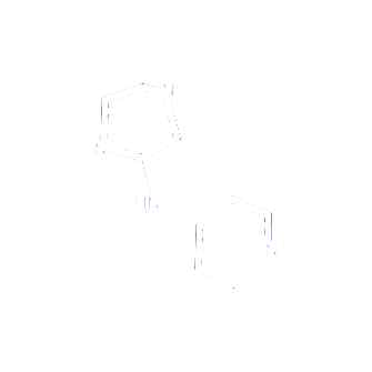 c1cc(Nc2cnccn2)ccn1